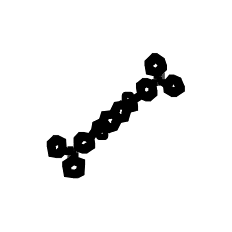 c1ccc(N(c2ccccc2)c2ccc(-c3cc4cc5cc6oc(-c7ccc(N(c8ccccc8)c8ccccc8)cc7)cc6cc5cc4o3)cc2)cc1